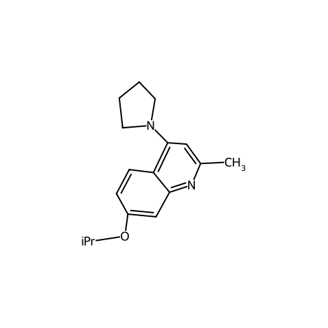 Cc1cc(N2CCCC2)c2ccc(OC(C)C)cc2n1